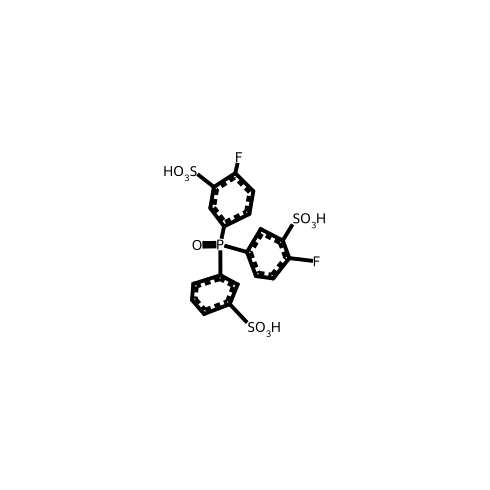 O=P(c1cccc(S(=O)(=O)O)c1)(c1ccc(F)c(S(=O)(=O)O)c1)c1ccc(F)c(S(=O)(=O)O)c1